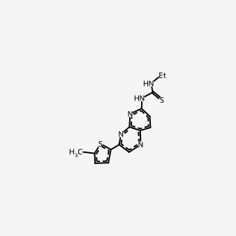 CCNC(=S)Nc1ccc2ncc(-c3ccc(C)s3)nc2n1